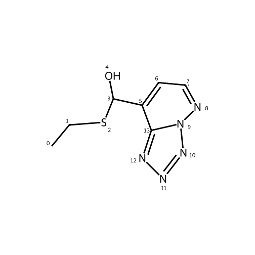 CCSC(O)c1c[c]nn2nnnc12